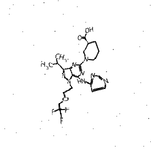 CC(C)c1nn(CCOCC(F)(F)F)c2c(Nc3ccncn3)nc(N3CCC[C@H](C(=O)O)C3)nc12